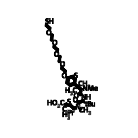 CN[C@H](C(=O)N[C@H](C(=O)N(C)C(C(C)C)C1S[C@@]1(C)C(=O)O)C(C)(C)C)C(C)(C)C1=CC=C(OCCOCCOCCOCCOCCS)C2SC12